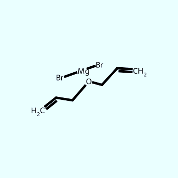 C=CCOCC=C.[Br][Mg][Br]